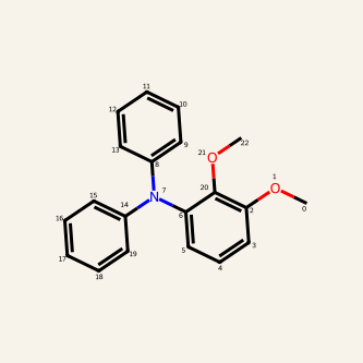 COc1cccc(N(c2ccccc2)c2ccccc2)c1OC